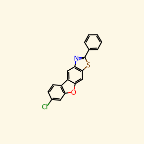 Clc1ccc2c(c1)oc1cc3sc(-c4ccccc4)nc3cc12